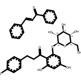 O=C(/C=C/c1ccccc1)c1ccccc1.O=C(CCc1ccc(O)cc1)c1c(O)cc(O)cc1O[C@@H]1O[C@H](CO)[C@@H](O)[C@H](O)[C@H]1O